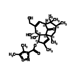 CC1=C[C@]23C(=O)[C@@H](C=C(CO)[C@@H](O)[C@]2(O)[C@H]1OC(=O)c1noc(C)c1C)C(C)(C)[C@@H](C)C[C@H]3C